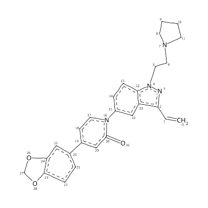 C=Cc1nn(CCN2CCCC2)c2ccc(-n3ccc(-c4ccc5c(c4)OCO5)cc3=O)cc12